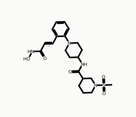 CS(=O)(=O)N1CCCC(C(=O)NC2CCN(c3ccccc3/C=C/C(=O)NO)CC2)C1